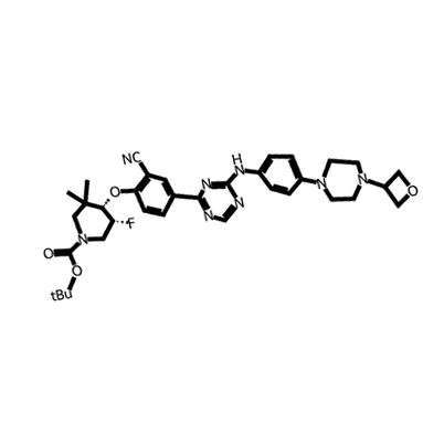 CC(C)(C)OC(=O)N1C[C@@H](F)[C@@H](Oc2ccc(-c3ncnc(Nc4ccc(N5CCN(C6COC6)CC5)cc4)n3)cc2C#N)C(C)(C)C1